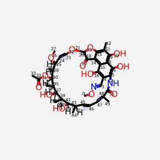 CO/N=C/c1c2c(O)c3c(O)c(C)c4c(c3c1O)C(=O)[C@@](C)(O/C=C/[C@H](OC)[C@@H](C)[C@@H](OC(C)=O)[C@H](C)[C@H](O)[C@H](C)[C@@H](O)[C@@H](C)/C=C/C=C(/C)C(=O)N2)O4